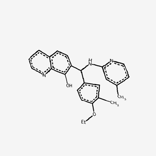 CCOc1ccc(C(Nc2cc(C)ccn2)c2ccc3cccnc3c2O)cc1C